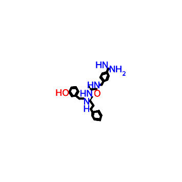 C[C@H](NC[C@@H](CCc1ccccc1)NCCc1cccc(O)c1)C(=O)NCc1ccc(C(=N)N)cc1